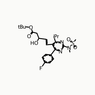 CC(C)c1nc(N(C)S(C)(=O)=O)nc(-c2ccc(F)cc2)c1/C=C/C(O)CC(=O)OC(C)(C)C